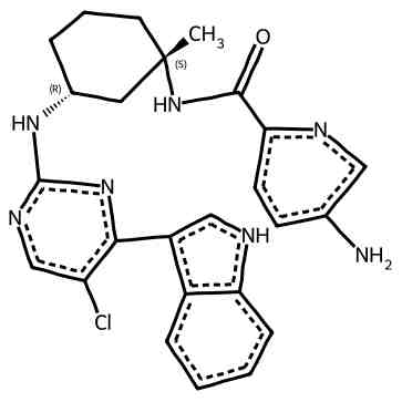 C[C@]1(NC(=O)c2ccc(N)cn2)CCC[C@@H](Nc2ncc(Cl)c(-c3c[nH]c4ccccc34)n2)C1